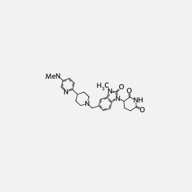 CNc1ccc(C2CCN(Cc3ccc4c(c3)n(C)c(=O)n4C3CCC(=O)NC3=O)CC2)nc1